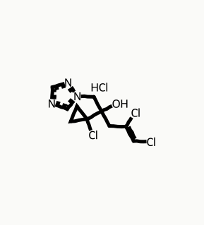 Cl.OC(CC(Cl)=CCl)(Cn1cncn1)C1(Cl)CC1